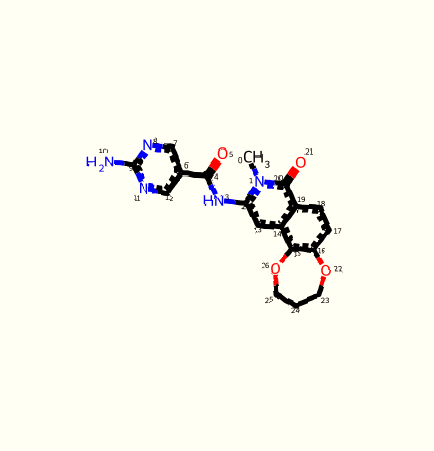 Cn1c(NC(=O)c2cnc(N)nc2)cc2c3c(ccc2c1=O)OCCCO3